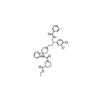 CCOC(=O)C1CCCN(C(=O)NC2(c3ccccc3)CCN(CCC(CN(C)C(=O)c3ccccc3)c3ccc(Cl)c(Cl)c3)CC2)C1